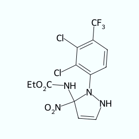 CCOC(=O)NC1([N+](=O)[O-])C=CNN1c1ccc(C(F)(F)F)c(Cl)c1Cl